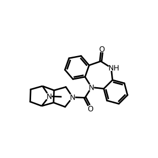 CN1C2CCC1C1CN(C(=O)N3c4ccccc4NC(=O)c4ccccc43)CC12